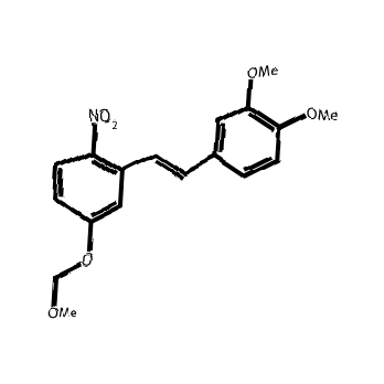 COCOc1ccc([N+](=O)[O-])c(C=Cc2ccc(OC)c(OC)c2)c1